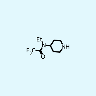 CCN(C(=O)C(F)(F)F)C1CCNCC1